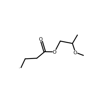 [CH2]CCC(=O)OCC(C)OC